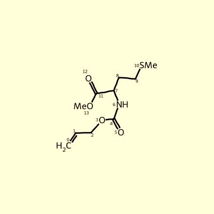 C=CCOC(=O)NC(CCSC)C(=O)OC